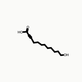 O=C(O)C#CCCCCCCCCCO